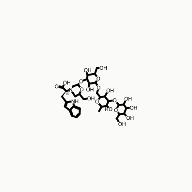 CC1OC(COC2OC(CO)C(O)C(OC3CN([C@@H](Cc4cc5ccccc5[nH]4)C(=O)O)CC(CO)O3)C2O)C(O)C(OC2OC(CO)C(O)C(O)C2O)C1O